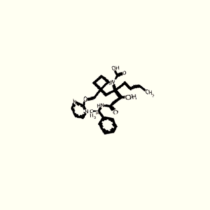 CCCCC(CC1(COc2ncccn2)CCC1)(NC(=O)O)C(O)C(=O)N[C@H](C)c1ccccc1